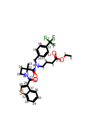 CCOC(=O)CCCN(Cc1ccc(C(F)(F)F)cc1)C(=O)C1(C)CCN1C(=O)c1csc2ccccc12